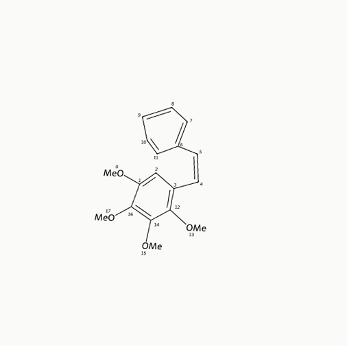 COc1cc(/C=C\c2ccccc2)c(OC)c(OC)c1OC